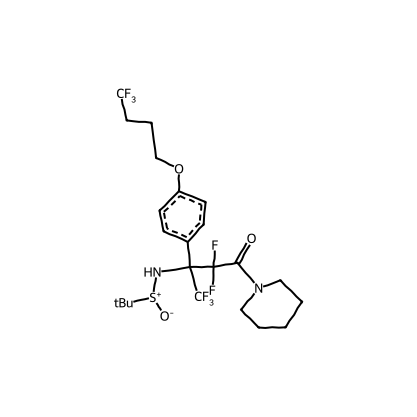 CC(C)(C)[S+]([O-])NC(c1ccc(OCCCC(F)(F)F)cc1)(C(F)(F)F)C(F)(F)C(=O)N1CCCCC1